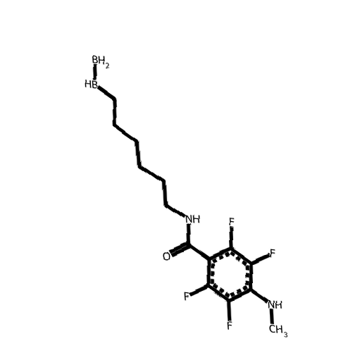 BBCCCCCCNC(=O)c1c(F)c(F)c(NC)c(F)c1F